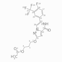 CC(=O)OCCCOc1cc2c(=O)[nH]c(-c3ccc(F)c(C(F)(F)F)c3)cn2n1